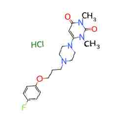 Cl.Cn1c(N2CCN(CCCOc3ccc(F)cc3)CC2)cc(=O)n(C)c1=O